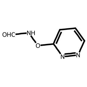 O=CNOc1cccnn1